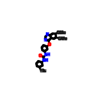 COc1cc2ncnc(Oc3cccc(NC(=O)Nc4cccc(C(C)(C)C)c4)c3)c2cc1OC